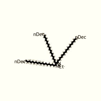 C[CH]c1nc(CCCCCCCCCCCCCCCCCCCCCCCCCCCC)c(CCCCCCCCCCCCCCCCCCCCCCCCCCCC)c(CCCCCCCCCCCCCCCCCCCCCCCCCCCC)n1